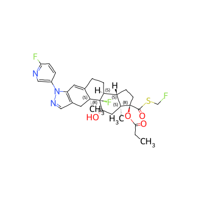 CCC(=O)O[C@]1(C(=O)SCF)CC[C@H]2[C@@H]3CCC4=Cc5c(cnn5-c5ccc(F)nc5)C[C@]4(C)[C@@]3(F)[C@@H](O)C[C@@]21C